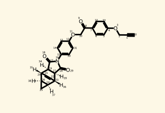 C#CCOc1ccc(C(=O)COc2ccc(N3C(=O)[C@@H]4[C@@H]5C=C[C@@H]([C@H]6C[C@@H]56)[C@@H]4C3=O)cc2)cc1